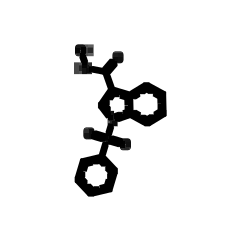 O=C(NO)c1cn(S(=O)(=O)c2ccccc2)c2ccccc12